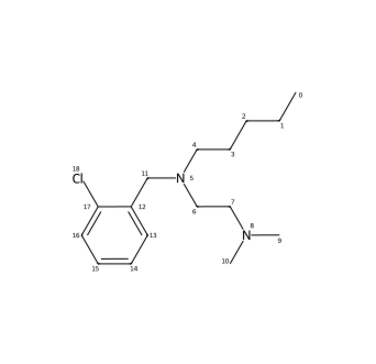 CCCCCN(CCN(C)C)Cc1ccccc1Cl